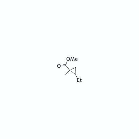 CCC1CC1(C)C(=O)OC